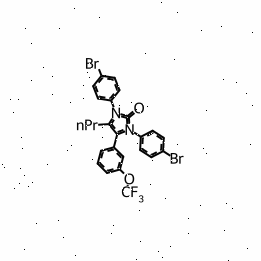 CCCc1c(-c2cccc(OC(F)(F)F)c2)n(-c2ccc(Br)cc2)c(=O)n1-c1ccc(Br)cc1